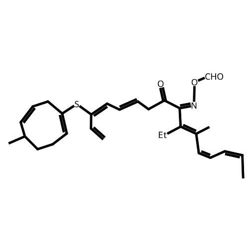 C=C/C(=C\C=C\CC(=O)C(=N\OC=O)/C(CC)=C(C)/C=C\C=C/C)S/C1=C/CCC(C)/C=C\C1